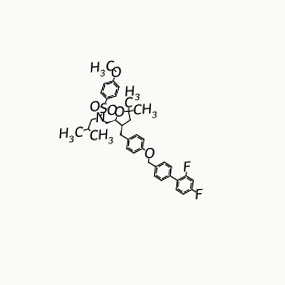 COc1ccc(S(=O)(=O)N(CC(C)C)C[C@H]2OC(C)(C)C[C@H]2Cc2ccc(OCc3ccc(-c4ccc(F)cc4F)cc3)cc2)cc1